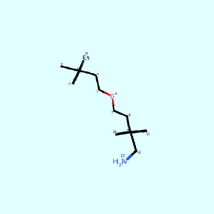 CCC(C)(C)CCOCCC(C)(C)CN